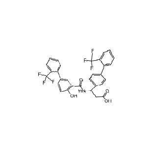 O=C(O)CC(NC(=O)c1cc(-c2ccccc2C(F)(F)F)ccc1O)c1ccc(-c2ccccc2C(F)(F)F)cc1